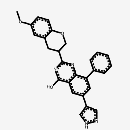 COc1ccc2c(c1)CC(c1nc(O)c3cc(-c4cn[nH]c4)cc(-c4ccccc4)c3n1)CO2